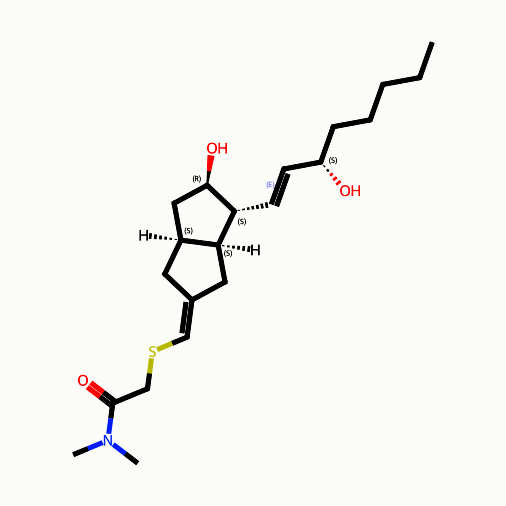 CCCCC[C@H](O)/C=C/[C@@H]1[C@H]2CC(=CSCC(=O)N(C)C)C[C@H]2C[C@H]1O